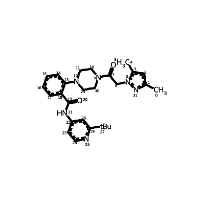 Cc1cc(C)n(CC(=O)N2CCN(c3ccccc3C(=O)Nc3ccnc(C(C)(C)C)c3)CC2)n1